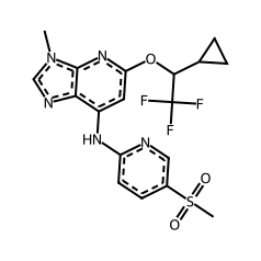 Cn1cnc2c(Nc3ccc(S(C)(=O)=O)cn3)cc(OC(C3CC3)C(F)(F)F)nc21